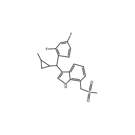 CC1CC1C(c1ccc(F)cc1F)c1c[nH]c2c(CS(C)(=O)=O)cccc12